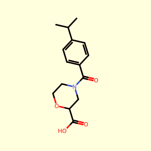 CC(C)c1ccc(C(=O)N2CCOC(C(=O)O)C2)cc1